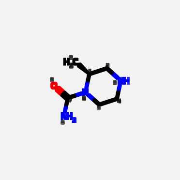 C[C@H]1CNCCN1C(N)=O